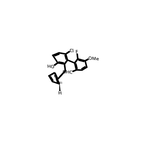 COc1ccc(C=O)c(-c2c(Cl)ccc(O)c2CC2C[C@H]3C=CC2CC3)c1F